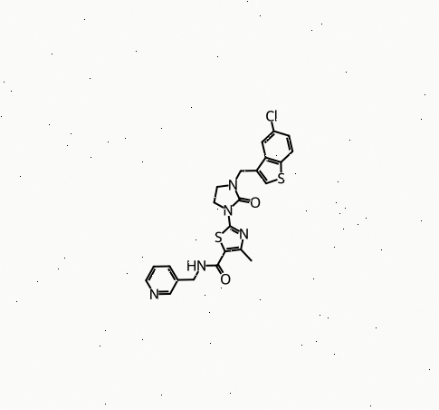 Cc1nc(N2CCN(Cc3csc4ccc(Cl)cc34)C2=O)sc1C(=O)NCc1cccnc1